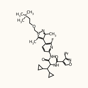 Cc1nn(COCCS(C)(C)C)c(C)c1-c1ccc(NC(=O)C(NC(=O)c2conc2C(C)C)C(C2CC2)C2CC2)nc1F